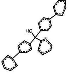 OC(c1ccc(-c2ccccc2)cc1)(c1ccc(-c2ccccc2)cc1)c1ccccn1